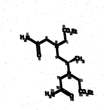 CCOC(=O)CN(CC(N)=O)C[C@H](C)N(CC(N)=O)CC(=O)OCC